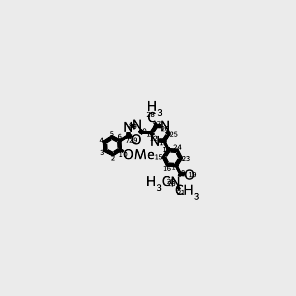 COc1ccccc1-c1nnc(-c2nc(-c3ccc(C(=O)N(C)C)cc3)cnc2C)o1